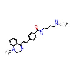 CN1CCN=C(C=Cc2ccc(C(=O)NCCCCNC(=O)O)cc2)c2ccccc21